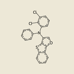 Clc1cccc(N(c2ccccc2)c2coc3c2sc2ccccc23)c1Cl